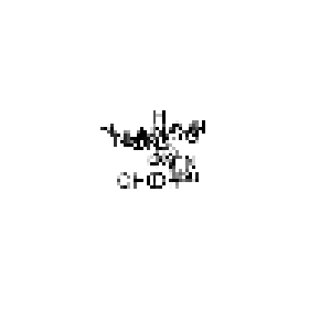 CC(C)(C)C=C(C#N)C(=O)N1CCC[C@@H]1Cn1c(NC(=O)c2ccc(-c3cnco3)s2)nc2cc(CNCC3CC3)ccc21.O=CO